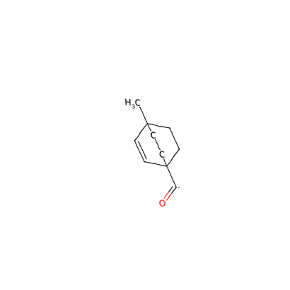 CC12C=CC([C]=O)(CC1)CC2